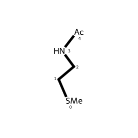 [CH2]SCCNC(C)=O